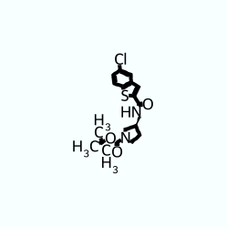 CC(C)(C)OC(=O)N1CC[C@H](CNC(=O)c2cc3cc(Cl)ccc3s2)C1